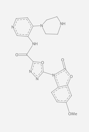 COc1ccc2c(c1)oc(=O)n2-c1nnc(C(=O)Nc2cnccc2N2CCNCC2)o1